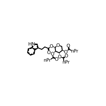 CCCC(=O)O[C@@H]1[C@@H](OC(=O)CCC)[C@@H](OC(=O)CCc2c[nH]c3ccccc23)OC[C@H]1OC(=O)CCC